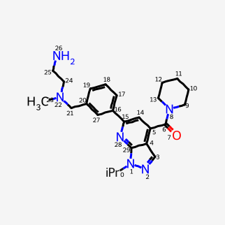 CC(C)n1ncc2c(C(=O)N3CCCCC3)cc(-c3cccc(CN(C)CCN)c3)nc21